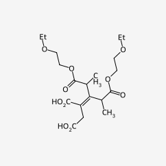 CCOCCOC(=O)C(C)C(=C(CC(=O)O)C(=O)O)C(C)C(=O)OCCOCC